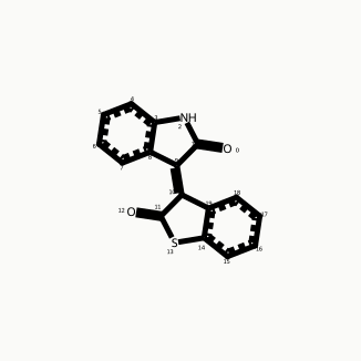 O=C1Nc2ccccc2C1=C1C(=O)Sc2ccccc21